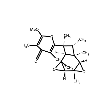 COc1oc([C@@]2(C)[C@H](C)[C@@]3(C)[C@@H]4O[C@]4(C)[C@@H]4O[C@]4(C)[C@@H]23)c(C)c(=O)c1C